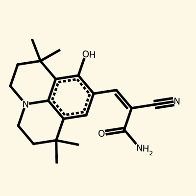 CC1(C)CCN2CCC(C)(C)c3c(O)c(/C=C(/C#N)C(N)=O)cc1c32